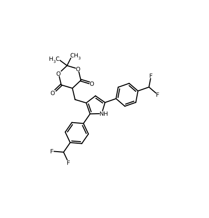 CC1(C)OC(=O)C(Cc2cc(-c3ccc(C(F)F)cc3)[nH]c2-c2ccc(C(F)F)cc2)C(=O)O1